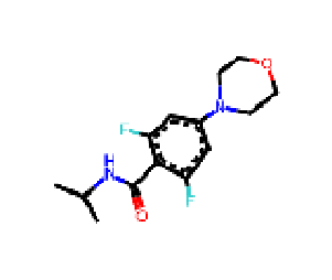 CC(C)NC(=O)c1c(F)cc(N2CCOCC2)cc1F